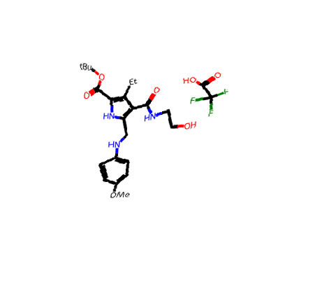 CCc1c(C(=O)OC(C)(C)C)[nH]c(CNc2ccc(OC)cc2)c1C(=O)NCCO.O=C(O)C(F)(F)F